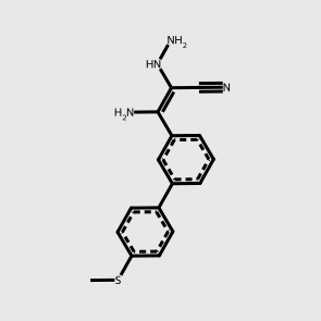 CSc1ccc(-c2cccc(/C(N)=C(\C#N)NN)c2)cc1